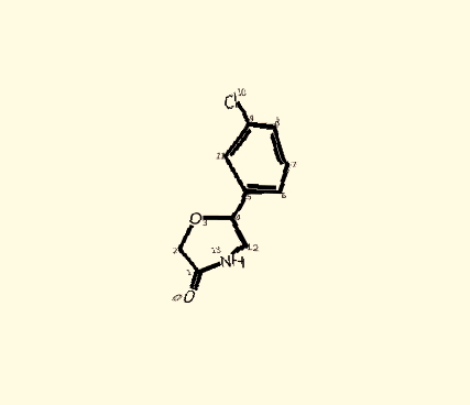 O=C1COC(c2cccc(Cl)c2)CN1